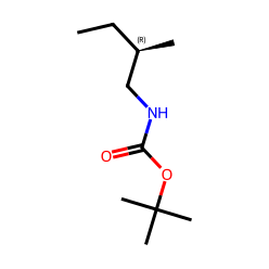 CC[C@@H](C)CNC(=O)OC(C)(C)C